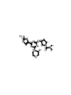 C[C@H]1COCCN1c1nc(OC2CCN(C(=O)N(C)C)C2)nc(-c2cnc(N)s2)n1